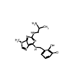 CC(N)CNc1nc(NCc2cccc(Cl)c2O)c2ncn(C)c2n1